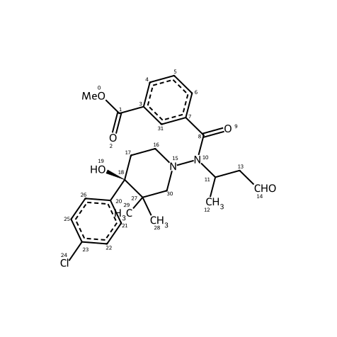 COC(=O)c1cccc(C(=O)N(C(C)CC=O)N2CC[C@@](O)(c3ccc(Cl)cc3)C(C)(C)C2)c1